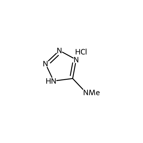 CNc1nnn[nH]1.Cl